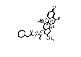 C[C@@H]1C[C@H]2[C@@H]3C[C@H](F)C4=CC(=O)C=C[C@]4(C)[C@@]3(F)[C@@H](O)C[C@]2(C)[C@H]1C(=S)OOC(=O)CC1CCCCC1